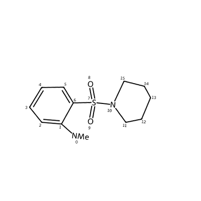 CNc1ccccc1S(=O)(=O)N1CCCCC1